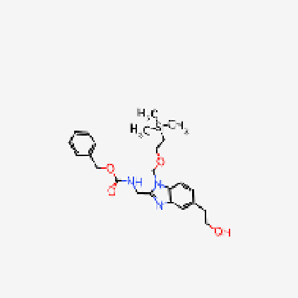 C[Si](C)(C)CCOCn1c(CNC(=O)OCc2ccccc2)nc2cc(CCO)ccc21